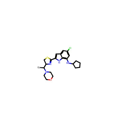 CCC(C1CSC(c2cc3cc(Cl)cc(NC4CCCC4)c3[nH]2)=N1)N1CCOCC1